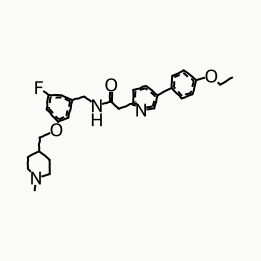 CCOc1ccc(-c2ccc(CC(=O)NCc3cc(F)cc(OCC4CCN(C)CC4)c3)nc2)cc1